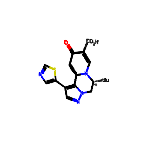 CC(C)(C)[C@@H]1Cn2ncc(-c3cncs3)c2-c2cc(=O)c(C(=O)O)cn21